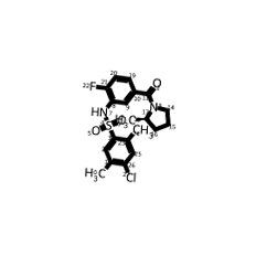 Cc1cc(S(=O)(=O)Nc2cc(C(=O)N3CCC[C@H]3C)ccc2F)c(C)cc1Cl